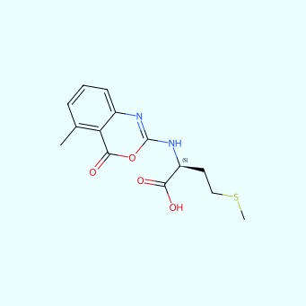 CSCC[C@H](Nc1nc2cccc(C)c2c(=O)o1)C(=O)O